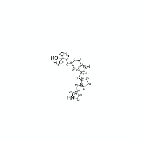 CC(C)(O)CCc1ccc2[nH]cc(C[C@H]3CCCN3C[C@@H]3CCNC3)c2c1